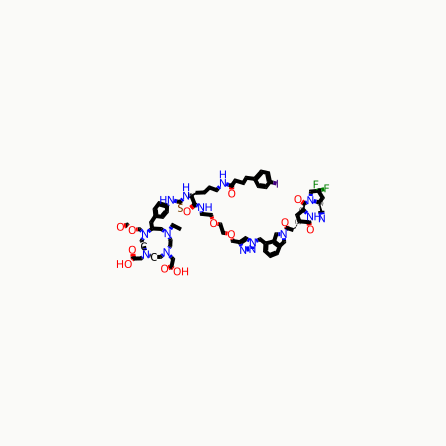 CCN1CCN(CC(=O)O)CCN(CC(=O)O)CCN(COC=O)C(Cc2ccc(NC(=S)N[C@@H](CCCCNC(=O)CCCc3ccc(I)cc3)C(=O)NCCOCCOCc3cn(Cc4cccc5c4CN(C(=O)C[C@@H]4C[C@@H](C(=O)N6CC(F)(F)C[C@H]6C#N)NC4=O)C5)nn3)cc2)C1